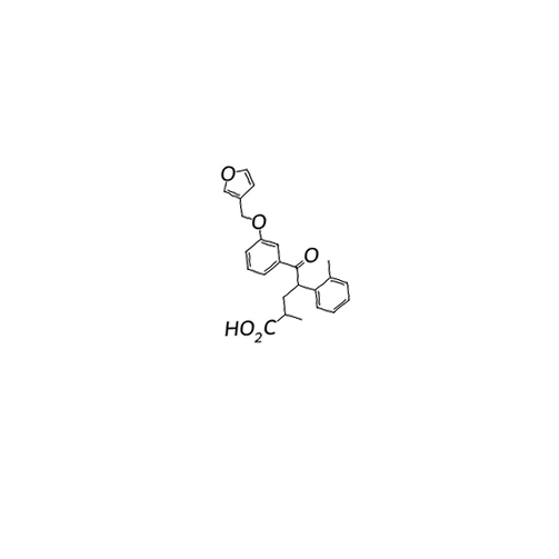 Cc1ccccc1C(CC(C)C(=O)O)C(=O)c1cccc(OCc2ccoc2)c1